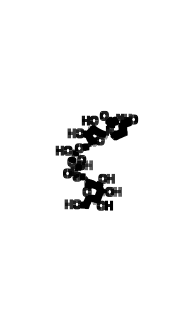 O=c1ccn([C@@H]2O[C@H](COP(=O)(O)OP(=O)(O)OC[C@H]3OC(CO)[C@H](O)[C@H](O)C3O)C(O)[C@@H]2O)c(=O)[nH]1